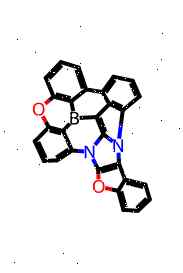 c1cc2c3c(c1)-c1cccc4c1c1c5n(c6oc7ccccc7c6n45)-c4cccc(c4B31)O2